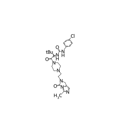 Cc1ncc2n1C(=O)N(CCN1CCN(C(=O)[C@H](NC(=O)Nc3ccc(Cl)cc3)C(C)(C)C)CC1)C2